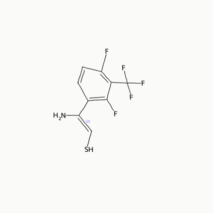 N/C(=C\S)c1ccc(F)c(C(F)(F)F)c1F